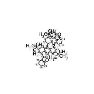 CC(C)(C)c1ccc2c(c1)N(c1cccc3oc4ccccc4c13)c1cc(C(C)(C)C)cc3c1B2c1cc(C(C)(C)C)cc2c4c5ccccc5oc4n-3c12